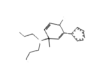 CC1(N(CCO)CCO)C=CC(N)C(c2ccsc2)=C1